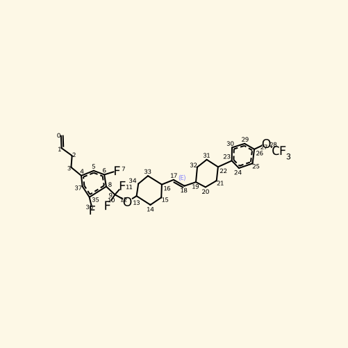 C=CCCc1cc(F)c(C(F)(F)OC2CCC(/C=C/C3CCC(c4ccc(OC(F)(F)F)cc4)CC3)CC2)c(F)c1